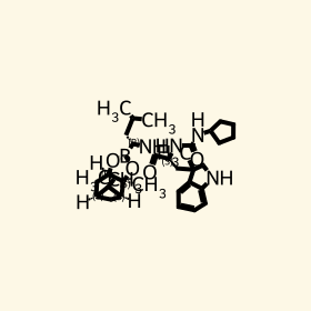 CC(C)C[C@H](NC(=O)[C@H](CC1(C)CNc2ccccc21)NC(=O)NC1CCCC1)B1O[C@@H]2C[C@@H]3C[C@@H](C3(C)C)[C@]2(C)O1